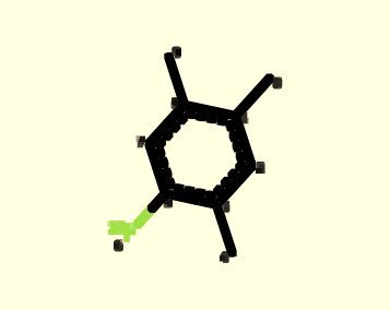 Cc1cc(C)c([18F])cc1C